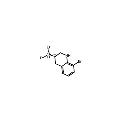 CC[SiH](CC)[C@H]1CNc2c(Br)cccc2C1